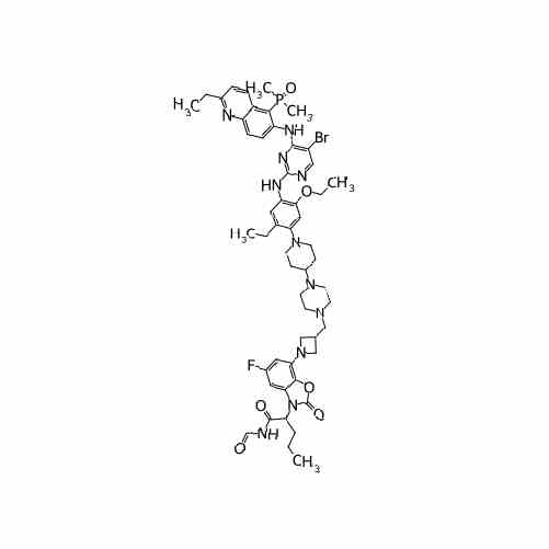 CCCC(C(=O)NC=O)n1c(=O)oc2c(N3CC(CN4CCN(C5CCN(c6cc(OCC)c(Nc7ncc(Br)c(Nc8ccc9nc(CC)ccc9c8P(C)(C)=O)n7)cc6CC)CC5)CC4)C3)cc(F)cc21